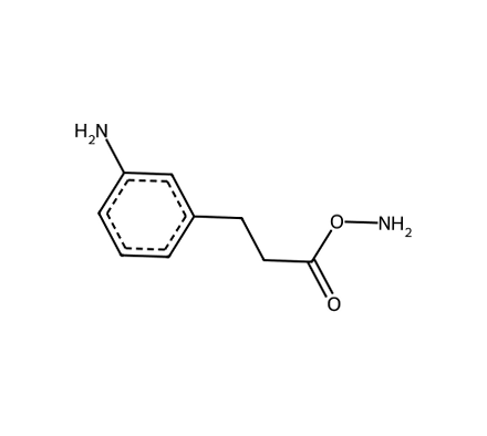 NOC(=O)CCc1cccc(N)c1